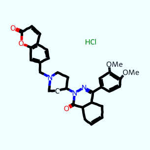 COc1ccc(C2=NN(C3CCN(Cc4ccc5ccc(=O)oc5c4)CC3)C(=O)C3CC=CCC23)cc1OC.Cl